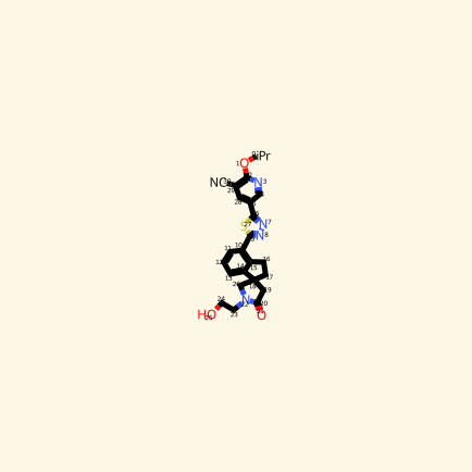 CC(C)Oc1ncc(-c2nnc(-c3cccc4c3CCC43CC(=O)N(CCO)C3)s2)cc1C#N